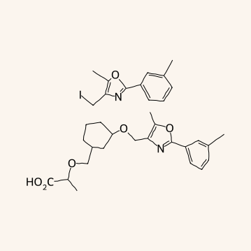 Cc1cccc(-c2nc(CI)c(C)o2)c1.Cc1cccc(-c2nc(COC3CCCC(COC(C)C(=O)O)C3)c(C)o2)c1